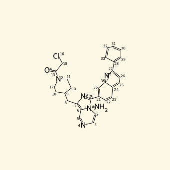 N[N+]12C=CN=CC1=C(CC1CCN(C(=O)CCl)CC1)N=C2c1ccc2ccc(-c3ccccc3)nc2c1